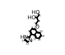 OCC(O)CCOc1ccc(-c2ncc[nH]2)c2ccccc12